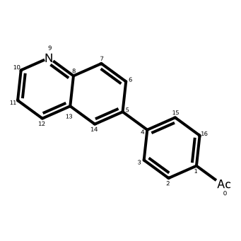 CC(=O)c1ccc(-c2ccc3ncccc3c2)cc1